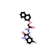 O=C(COc1ccc2ccccc2c1)N/N=C1\C(=O)Nc2ccc(I)cc21